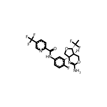 CC(F)(F)[C@H]1OC[C@]2(c3cc(NC(=O)c4ccc(C(F)(F)F)cn4)ccc3F)N=C(N)OC[C@H]12